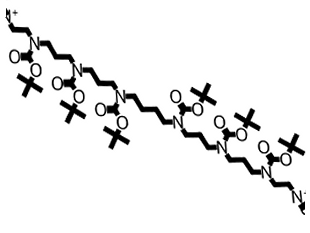 [C-]#[N+]CCN(CCCN(CCCN(CCCCN(CCCN(CCCN(CC[N+]#[C-])C(=O)OC(C)(C)C)C(=O)OC(C)(C)C)C(=O)OC(C)(C)C)C(=O)OC(C)(C)C)C(=O)OC(C)(C)C)C(=O)OC(C)(C)C